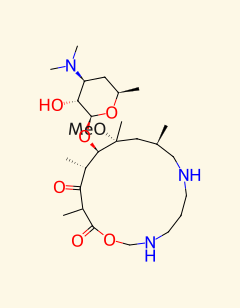 CO[C@]1(C)C[C@@H](C)CNCCCNCOC(=O)C(C)C(=O)[C@H](C)[C@H]1O[C@@H]1O[C@H](C)C[C@H](N(C)C)[C@H]1O